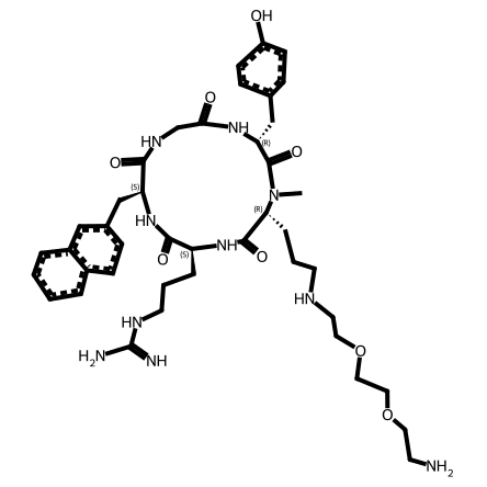 CN1C(=O)[C@@H](Cc2ccc(O)cc2)NC(=O)CNC(=O)[C@H](Cc2ccc3ccccc3c2)NC(=O)[C@H](CCCNC(=N)N)NC(=O)[C@H]1CCCNCCOCCOCCN